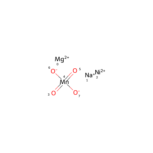 [Mg+2].[Na+].[Ni+2].[O]=[Mn](=[O])([O-])[O-]